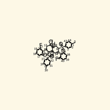 Cc1ccc(S(=O)(=O)C2C[C@H]3C(=O)C[C@@H](c4ccccc4F)C(S(=O)(=O)c4ccc(C)cc4)[C@H]3C[C@H]2c2ccccc2F)cc1